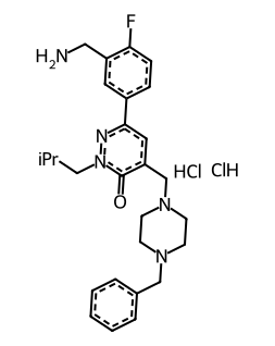 CC(C)Cn1nc(-c2ccc(F)c(CN)c2)cc(CN2CCN(Cc3ccccc3)CC2)c1=O.Cl.Cl